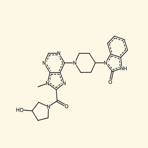 Cn1c(C(=O)N2CCC(O)C2)nc2c(N3CCC(n4c(=O)[nH]c5ccccc54)CC3)ncnc21